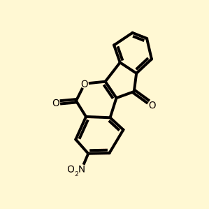 O=C1c2ccccc2-c2oc(=O)c3cc([N+](=O)[O-])ccc3c21